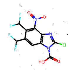 O=C(O)n1c(Cl)nc2c([N+](=O)[O-])c(C(F)F)c(C(F)F)cc21